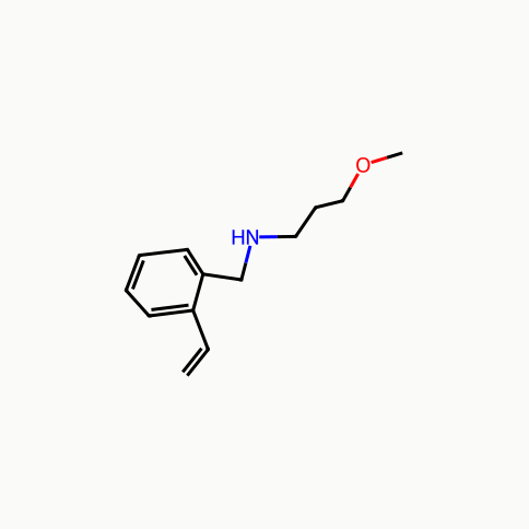 C=Cc1ccccc1CNCCCOC